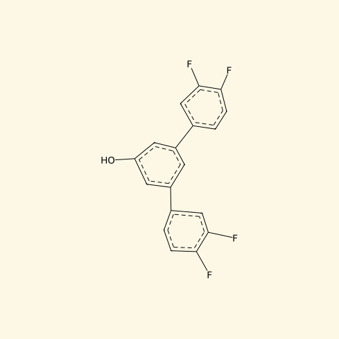 Oc1cc(-c2ccc(F)c(F)c2)cc(-c2ccc(F)c(F)c2)c1